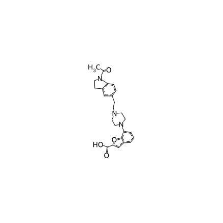 CC(=O)N1CCc2cc(CCN3CCN(c4cccc5cc(C(=O)O)oc45)CC3)ccc21